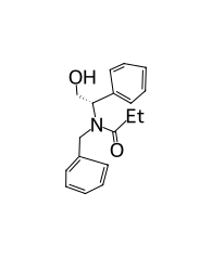 CCC(=O)N(Cc1ccccc1)[C@H](CO)c1ccccc1